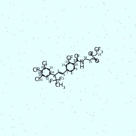 CC(F)(F)C(C=Cc1ccc(C(=O)NCCS(=O)(=O)CC(F)(F)F)c(C(F)(F)F)c1)c1cc(Cl)c(Cl)c(Cl)c1